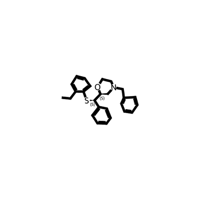 CCc1ccccc1S[C@@H](c1ccccc1)[C@@H]1CN(Cc2ccccc2)CCO1